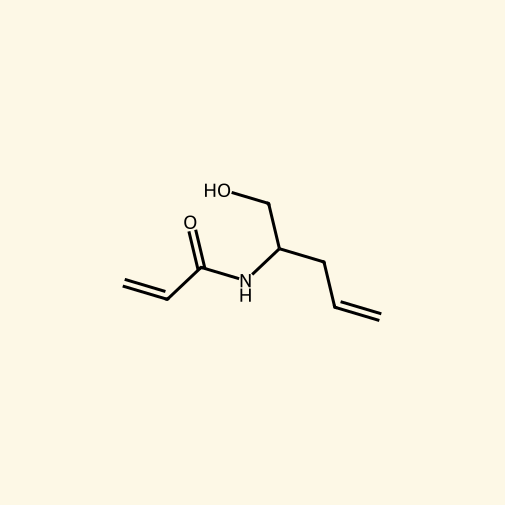 C=CCC(CO)NC(=O)C=C